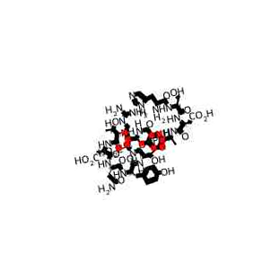 CC(C)[C@H](NC(=O)[C@H](C)NC(=O)[C@H](CC(=O)O)NC(=O)[C@H](CO)NC(=O)[C@@H](N)Cc1cnc[nH]1)C(=O)N[C@@H](Cc1ccccc1)C(=O)N[C@H](C(=O)N[C@@H](CC(=O)O)C(=O)N[C@@H](CC(N)=O)C(=O)N[C@@H](Cc1ccc(O)cc1)C(=O)N[C@H](C(=O)N[C@@H](CCCN=C(N)N)C(=O)O)[C@@H](C)O)[C@@H](C)O